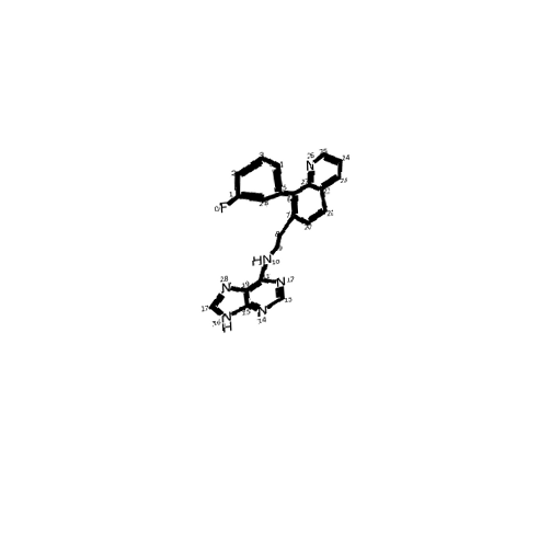 Fc1cccc(-c2c(CCNc3ncnc4[nH]cnc34)ccc3cccnc23)c1